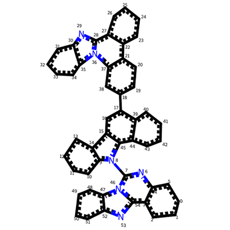 c1ccc2c(c1)nc(-n1c3ccccc3c3cc(-c4ccc5c6ccccc6c6nc7ccccc7n6c5c4)c4ccccc4c31)n1c3ccccc3nc21